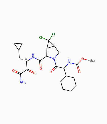 CC(C)(C)OC(=O)NC(C(=O)N1CC2C(C1C(=O)N[C@@H](CC1CC1)C(=O)C(N)=O)C2(Cl)Cl)C1CCCCC1